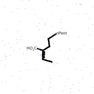 C/C=C(\CCCCCCC)C(=O)O